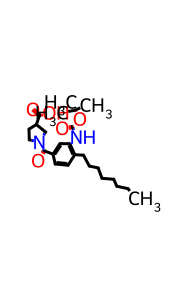 CCCCCCCCc1ccc(C(=O)N2CCC(C(=O)O)C2)cc1NC(=O)OC(C)(C)C